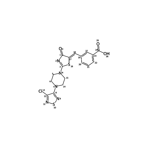 O=C1N=C(N2CCN(c3nsnc3Cl)CC2)SC1=Cc1cccc(C(=O)O)c1